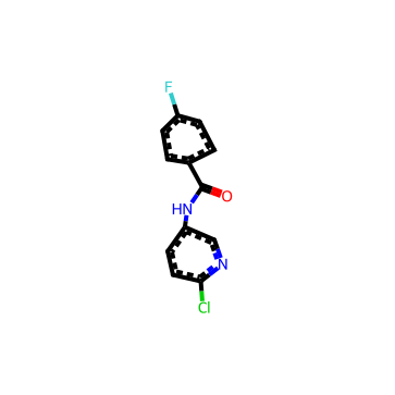 O=C(Nc1ccc(Cl)nc1)c1ccc(F)cc1